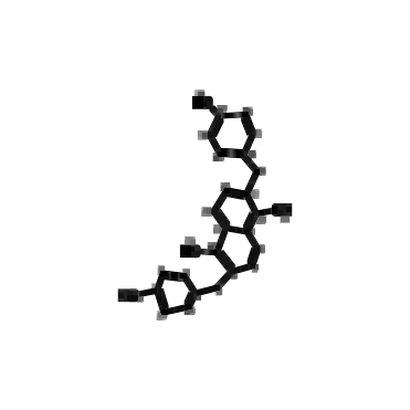 Oc1ccc(Cc2ccc3c(O)c(Cc4ccc(O)cc4)ccc3c2O)cc1